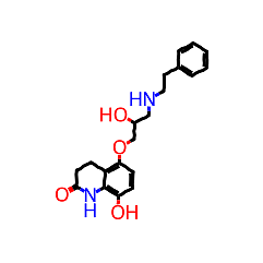 O=C1CCc2c(OCC(O)CNCCc3ccccc3)ccc(O)c2N1